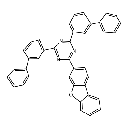 c1ccc(-c2cccc(-c3nc(-c4cccc(-c5ccccc5)c4)nc(-c4ccc5c(c4)oc4ccccc45)n3)c2)cc1